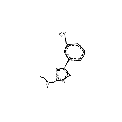 Nc1cccc(-c2csc(NI)n2)c1